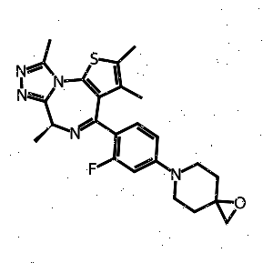 Cc1sc2c(c1C)C(c1ccc(N3CCC4(CC3)CO4)cc1F)=N[C@@H](C)c1nnc(C)n1-2